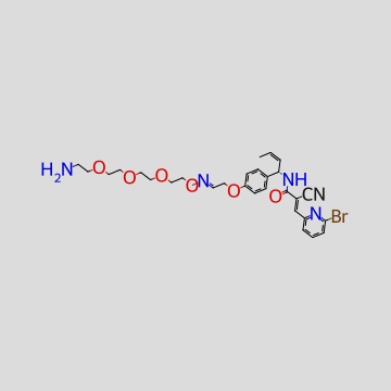 C/C=C\[C@H](NC(=O)/C(C#N)=C/c1cccc(Br)n1)c1ccc(OC/C=N/OCCOCCOCCOCCN)cc1